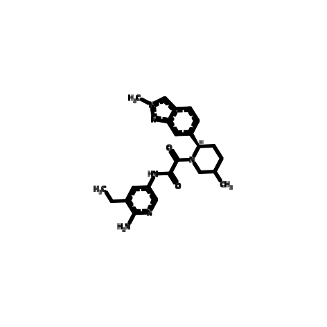 CCc1cc(NC(=O)C(=O)N2CC(C)CC[C@@H]2c2ccc3cn(C)nc3c2)cnc1N